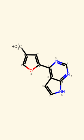 O=C(O)c1coc(-c2ncnc3[nH]ccc23)c1